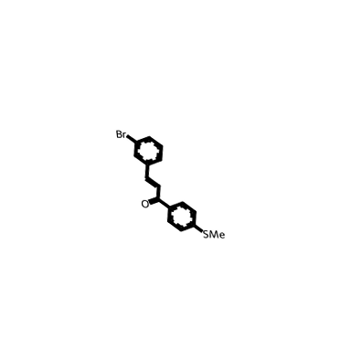 CSc1ccc(C(=O)C=Cc2cccc(Br)c2)cc1